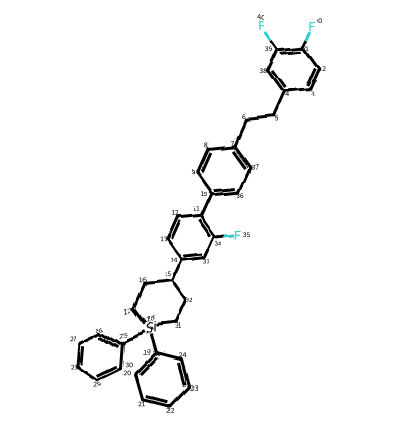 Fc1ccc(CCc2ccc(-c3ccc(C4CC[Si](c5ccccc5)(c5ccccc5)CC4)cc3F)cc2)cc1F